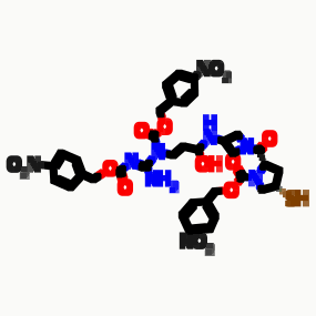 NC(=NC(=O)OCc1ccc([N+](=O)[O-])cc1)N(CCC(O)NC1CN(C(=O)[C@@H]2C[C@H](S)CN2C(=O)OCc2ccc([N+](=O)[O-])cc2)C1)C(=O)OCc1ccc([N+](=O)[O-])cc1